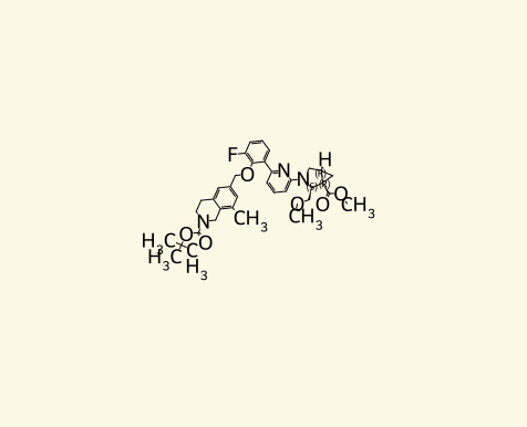 COC[C@H]1N(c2cccc(-c3cccc(F)c3OCc3cc(C)c4c(c3)CCN(C(=O)OC(C)(C)C)C4)n2)C[C@@H]2C[C@@]21C(=O)OC